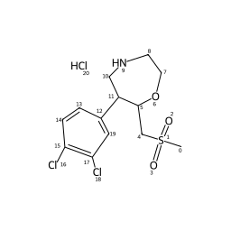 CS(=O)(=O)CC1OCCNCC1c1ccc(Cl)c(Cl)c1.Cl